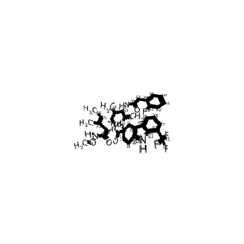 C=C(N[C@]1(C(=O)N[C@H](C(=O)NOC)C(C)CC)CCc2[nH]c3c(C(F)(F)F)cccc3c2C1)[C@@H](NC(=O)Cc1ccccc1F)C(C)CC